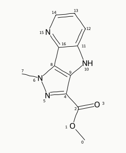 COC(=O)c1nn(C)c2c1[nH]c1cccnc12